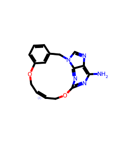 Nc1nc2nc3c1ncn3Cc1cccc(c1)OC/C=C\CO2